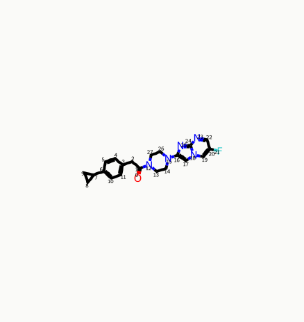 O=C(Cc1ccc(C2CC2)cc1)N1CCN(c2cn3cc(F)cnc3n2)CC1